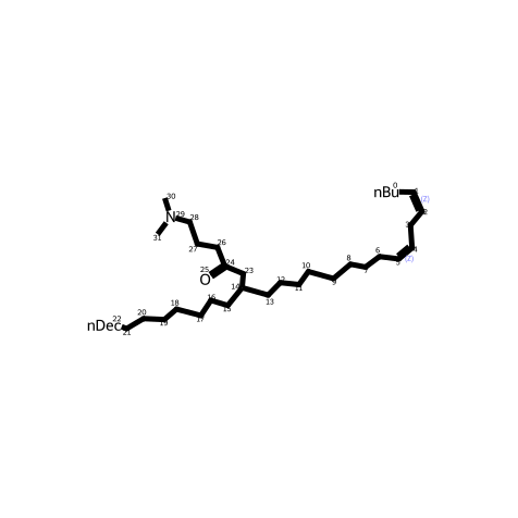 CCCC/C=C\C/C=C\CCCCCCCCC(CCCCCCCCCCCCCCCCC)CC(=O)CCCN(C)C